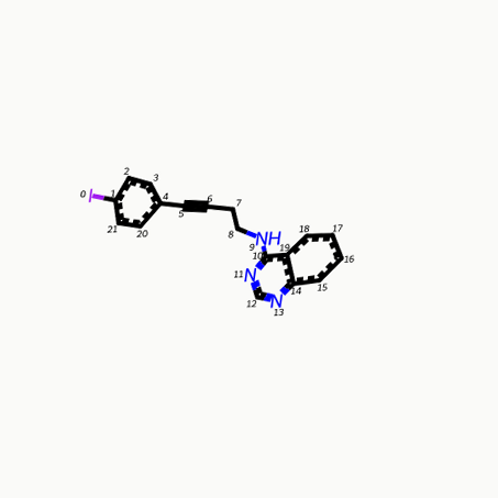 Ic1ccc(C#CCCNc2ncnc3ccccc23)cc1